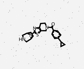 O=C(c1ccc(C2CC2)cc1)N1CCc2nc(N3C4CCC3CNC4)sc2C1